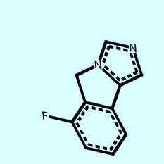 Fc1cccc2c1Cn1cncc1-2